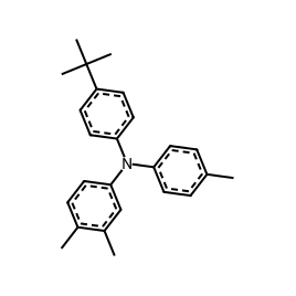 Cc1ccc(N(c2ccc(C(C)(C)C)cc2)c2ccc(C)c(C)c2)cc1